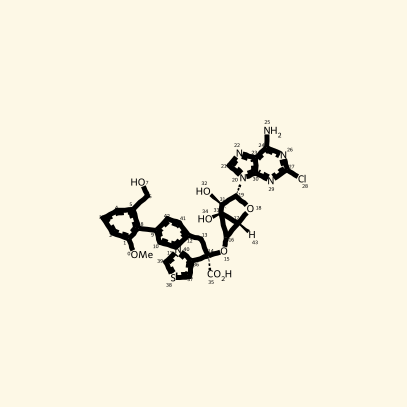 COc1cccc(CO)c1-c1ccc(C[C@](OC2[C@H]3O[C@@H](n4cnc5c(N)nc(Cl)nc54)[C@H](O)[C@@]23O)(C(=O)O)c2cscn2)cc1